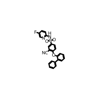 N#Cc1cc(S(=O)(=O)Nc2ccc(F)cn2)ccc1Oc1ccccc1-c1ccccc1